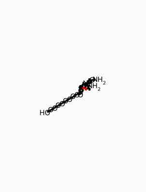 CC/C(C)=c1\c(=C(\N)C(C)CC)c(-c2ccc(OCN)c(C)c2)nn1Cc1ccc2c(c1)CCN(C(=O)COCCOCCOCCOCCOCCOCCOCCOCCO)C2